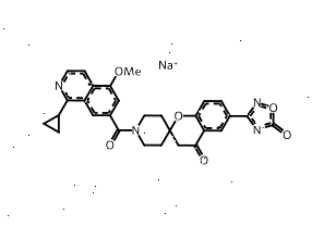 COc1cc(C(=O)N2CCC3(CC2)CC(=O)c2cc(-c4noc(=O)[n-]4)ccc2O3)cc2c(C3CC3)nccc12.[Na+]